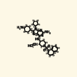 Cl.Cl.Nc1nc(NC2CCN(S(=O)(=O)c3cccc4ccccc34)CC2)c2nc(C3CCC(N)CC3)n(C3CCCC3)c2n1